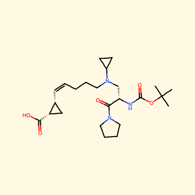 CC(C)(C)OC(=O)N[C@@H](CN(CCC/C=C\[C@@H]1C[C@@H]1C(=O)O)C1CC1)C(=O)N1CCCC1